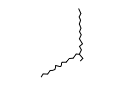 CCCCCCCCCCCCC(CC)CCCCCCCCCCCC